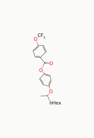 CCCCCCC(C)Oc1ccc(OC(=O)c2ccc(OC(F)(F)F)cc2)cc1